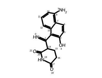 N=C(c1c(O)ccc2c(N)cccc12)C1CCC(=O)NC1=O